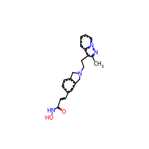 Cc1nn2ccccc2c1CCN1Cc2ccc(/C=C/C(=O)NO)cc2C1